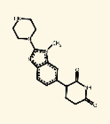 Cn1c(N2CCNCC2)nc2ccc(C3CCC(=O)NC3=O)cc21